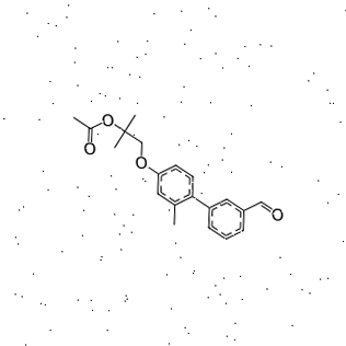 CC(=O)OC(C)(C)COc1ccc(-c2cccc(C=O)c2)c(C)c1